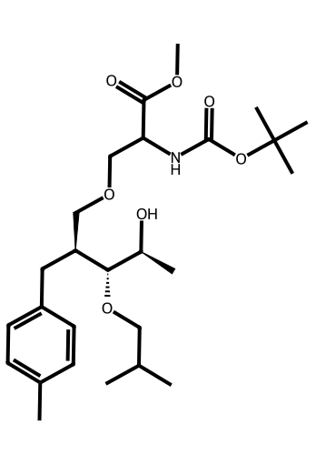 COC(=O)C(COC[C@H](Cc1ccc(C)cc1)[C@@H](OCC(C)C)[C@H](C)O)NC(=O)OC(C)(C)C